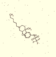 CCCCCCN1CC[C@](C)(c2cccc(NS(=O)(=O)C(F)(F)F)c2)[C@@H](C)C1